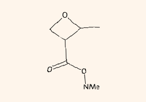 CNOC(=O)C1COC1C